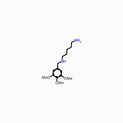 COc1cc(CNCCCCCN)cc(OC)c1OC